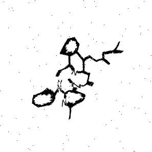 C=CC1=NC(CC(=C)N(C)c2ccc(C)nc2Nc2ccccc2)C(CCC(=C)C=C(C)C)c2ccccc21